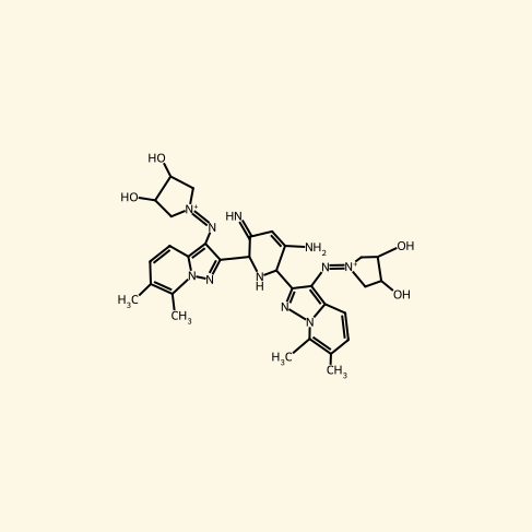 Cc1ccc2c(N=[N+]3CC(O)C(O)C3)c(C3NC(c4nn5c(C)c(C)ccc5c4N=[N+]4CC(O)C(O)C4)C(N)=CC3=N)nn2c1C